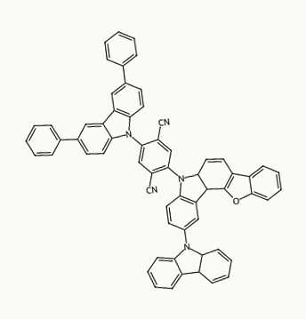 N#Cc1cc(-n2c3ccc(-c4ccccc4)cc3c3cc(-c4ccccc4)ccc32)c(C#N)cc1N1c2ccc(N3c4ccccc4C4C=CC=CC43)cc2C2c3oc4ccccc4c3C=CC21